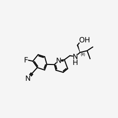 CC(C)[C@H](CO)NCc1cccc(-c2ccc(F)c(C#N)c2)n1